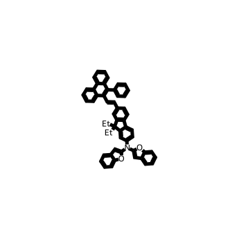 CCC1(CC)c2cc(/C=C/c3c(-c4ccccc4)c4ccccc4c4ccccc34)ccc2-c2ccc(N(c3cc4ccccc4o3)c3cc4ccccc4o3)cc21